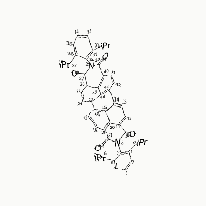 CC(C)c1cccc(C(C)C)c1N1C(=O)c2ccc3c4c(ccc(c24)C1=O)C1C=CC2C(=O)N(c4c(C(C)C)cccc4C(C)C)C(=O)c4ccc-3c1c42